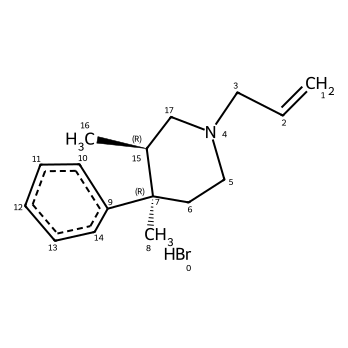 Br.C=CCN1CC[C@@](C)(c2ccccc2)[C@@H](C)C1